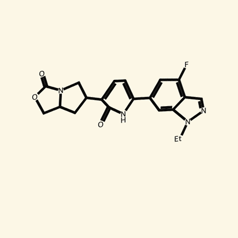 CCn1ncc2c(F)cc(-c3ccc(C4CC5COC(=O)N5C4)c(=O)[nH]3)cc21